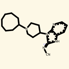 N#C/N=c1\[nH]c2cccnc2n1C1CCN(C2CCCCCCC2)CC1